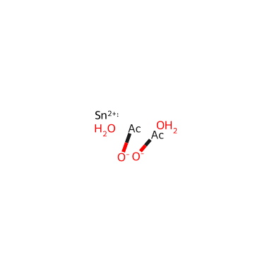 CC(=O)[O-].CC(=O)[O-].O.O.[Sn+2]